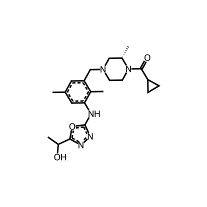 Cc1cc(CN2CCN(C(=O)C3CC3)[C@@H](C)C2)c(C)c(Nc2nnc(C(C)O)o2)c1